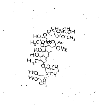 CO[C@@H]([C@@H]1Cc2cc3cc(O[C@H]4C[C@@H](O[C@H]5CC(O)[C@H](O)C(C)O5)[C@H](O)C(C)O4)c(C)c(O)c3c(O)c2C(=O)[C@H]1O[C@H]1C[C@@H](O[C@H]2C[C@@H](O[C@H]3C[C@@H](O)[C@H](O)C(C)O3)[C@@H](O)C(C)O2)[C@H](O)C(C)O1)[C@@H](O)C(C)=O